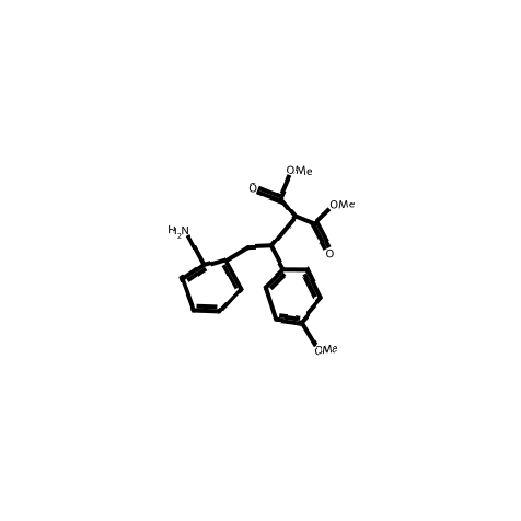 COC(=O)C(C(=O)OC)C(Cc1ccccc1N)c1ccc(OC)cc1